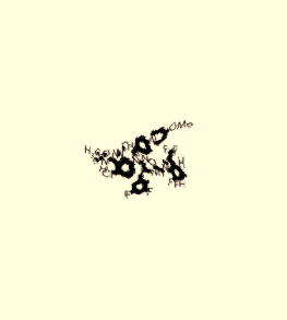 COC1CCN(c2ccc3c(c2)N=C([C@H](Cc2cc(F)cc(F)c2)NC(=O)Cn2nc(C(F)F)c4c2C(F)(F)[C@@H]2C[C@H]42)N(c2ccc(Cl)c4c(NS(C)(=O)=O)nn(C)c24)C3)CC1